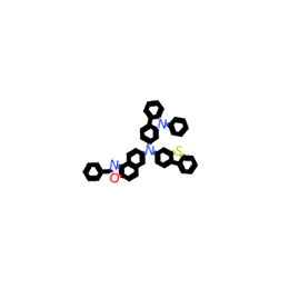 c1ccc(-c2nc3c(ccc4cc(N(c5ccc6c(c5)sc5ccccc56)c5ccc6c7ccccc7n(-c7ccccc7)c6c5)ccc43)o2)cc1